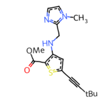 COC(=O)c1sc(C#CC(C)(C)C)cc1NCc1nccn1C